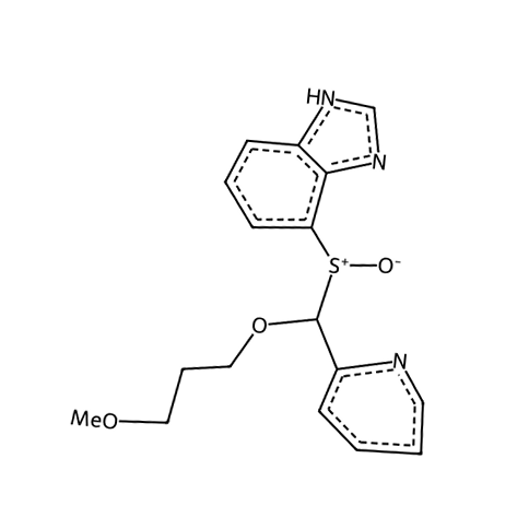 COCCCOC(c1ccccn1)[S+]([O-])c1cccc2[nH]cnc12